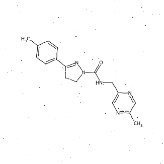 Cc1ccc(C2=NN(C(=O)NCc3cnc(C)cn3)CC2)cc1